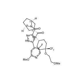 COCCO[C@]1(C(F)(F)F)CC[C@H](NC(=O)[C@@H]2C[C@H]3CC[C@@H](C2)N3C(=O)c2cc(-c3cc(OC)ncc3F)[nH]n2)CC1